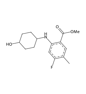 COC(=O)c1cc(C)c(F)cc1NC1CCC(O)CC1